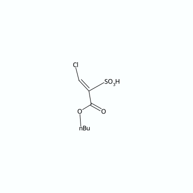 CCCCOC(=O)C(=CCl)S(=O)(=O)O